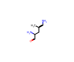 C/C(=C\N)CC(N)C=O